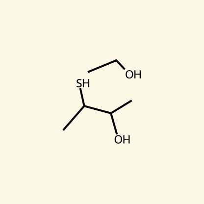 CC(O)C(C)S.CCO